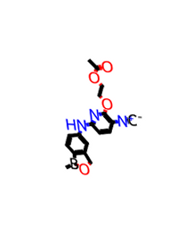 [C-]#[N+]c1ccc(Nc2ccc3c(c2)COB3C)nc1OCCOC(C)=O